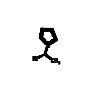 CC[C@H](C)n1cccc1